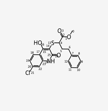 COC(=O)C(CCc1ccccc1)Sc1c(O)c2ccc(Cl)cc2[nH]c1=O